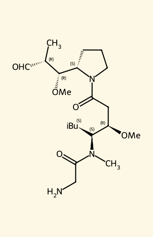 CC[C@H](C)[C@@H]([C@@H](CC(=O)N1CCC[C@H]1[C@H](OC)[C@@H](C)C=O)OC)N(C)C(=O)CN